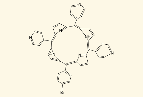 Brc1ccc(-c2c3nc(c(-c4ccncc4)c4ccc([nH]4)c(-c4ccncc4)c4nc(c(-c5ccncc5)c5ccc2[nH]5)C=C4)C=C3)cc1